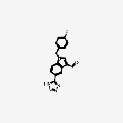 O=Cc1cn(Cc2ccc(F)cc2)c2ccc(-c3nnn[nH]3)cc12